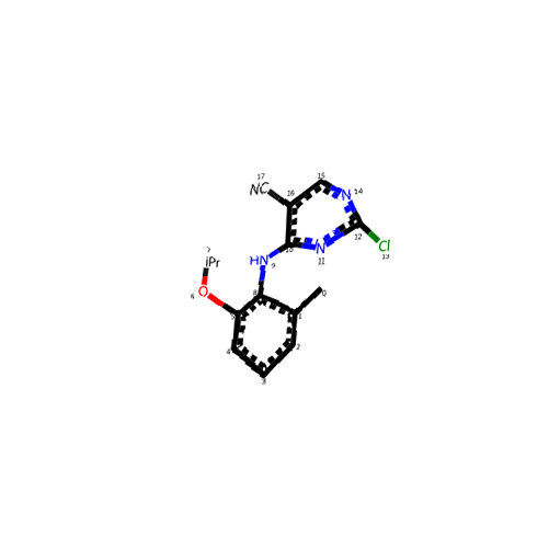 Cc1cccc(OC(C)C)c1Nc1nc(Cl)ncc1C#N